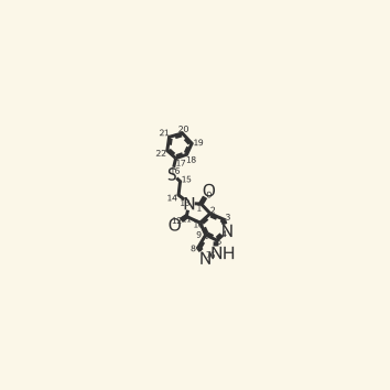 O=C1c2cnc3[nH]ncc3c2C(=O)N1CCSc1ccccc1